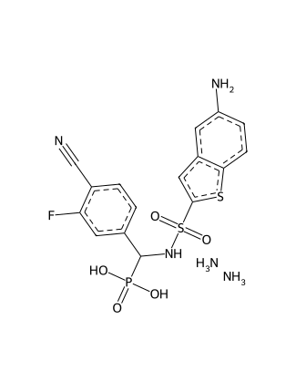 N.N.N#Cc1ccc(C(NS(=O)(=O)c2cc3cc(N)ccc3s2)P(=O)(O)O)cc1F